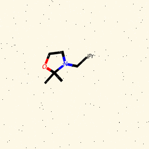 C[C](C)CN1CCOC1(C)C